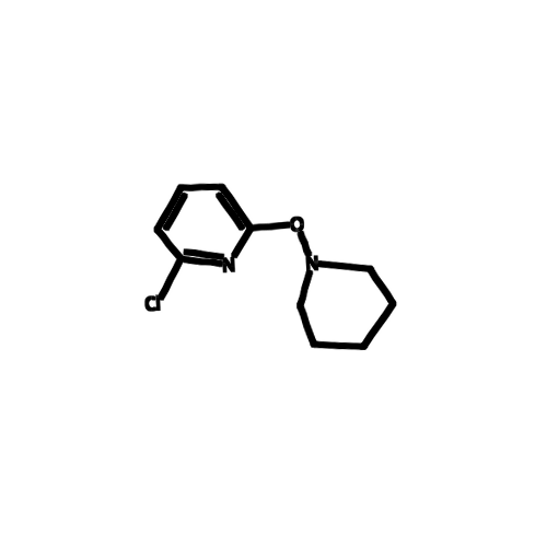 Clc1cccc(ON2CCCCC2)n1